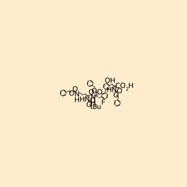 CC(C)(C)OC(=O)N[C@@H](CCCNC(=O)OCc1ccccc1)C(=O)N[C@@H](Cc1cc(-c2ccc(O)c(C[C@H](NC(=O)OCc3ccccc3)C(=O)O)c2)ccc1F)C(=O)OCc1ccccc1